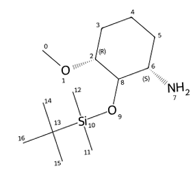 CO[C@@H]1CCC[C@H](N)C1O[Si](C)(C)C(C)(C)C